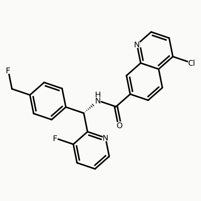 O=C(N[C@@H](c1ccc(CF)cc1)c1ncccc1F)c1ccc2c(Cl)ccnc2c1